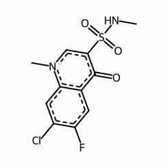 CNS(=O)(=O)c1cn(C)c2cc(Cl)c(F)cc2c1=O